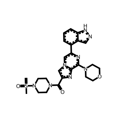 C=S(C)(=O)N1CCN(C(=O)c2cn3cc(-c4cccc5[nH]ncc45)nc(N4CCOCC4)c3n2)CC1